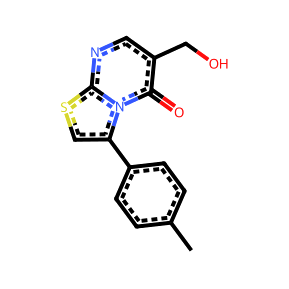 Cc1ccc(-c2csc3ncc(CO)c(=O)n23)cc1